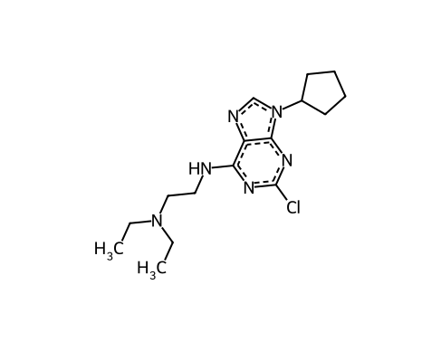 CCN(CC)CCNc1nc(Cl)nc2c1ncn2C1CCCC1